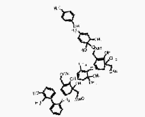 CC(=O)OCC1=C(O)C(C)(COC(C)=O)CC=C1.CC1=C(O)C(C)(C)CC=C1.CC1=CC(C)C(C)(O)C=C1.COCC1=C(O)C(C)(COC)CC=C1.Cc1ccc(O)cc1.Cc1ccccc1-c1cccc(O)c1C